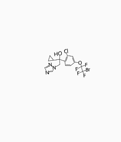 OC(Cn1cncn1)(c1ccc(OC(F)(F)C(F)(F)Br)cc1Cl)C1CC1